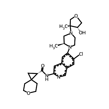 C[C@H]1CN([C@]2(C)COC[C@@H]2O)CCN1c1cc2cc(NC(=O)[C@H]3CC34CCOCC4)ncc2cc1Cl